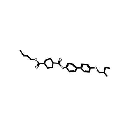 CCCCOC(=O)C1CCC(C(=O)Oc2ccc(-c3ccc(OCC(C)CC)cc3)cc2)CC1